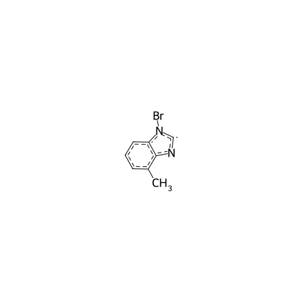 Cc1cccc2c1n[c]n2Br